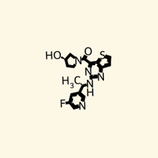 C[C@H](Nc1nc(C(=O)N2CC[C@@H](O)C2)c2sccc2n1)c1cncc(F)c1